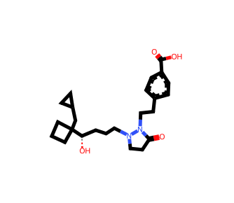 O=C(O)c1ccc(CCN2C(=O)CCN2CCC[C@H](O)C2(CC3CC3)CCC2)cc1